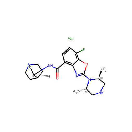 C[C@H]1CNC[C@H](C)N1c1nc2c(C(=O)N[C@@H]3CN4CCC3CC4)ccc(F)c2o1.Cl